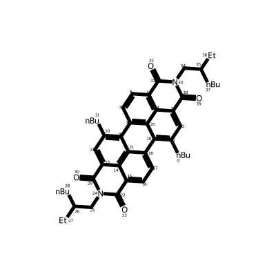 CCCCc1cc2c3c(ccc4c5c(CCCC)cc6c7c(ccc(c1c34)c75)C(=O)N(CC(CC)CCCC)C6=O)C(=O)N(CC(CC)CCCC)C2=O